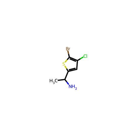 CC(N)c1cc(Cl)c(Br)s1